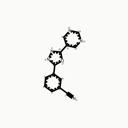 N#Cc1cccc(-c2nnc(-c3cncnc3)o2)c1